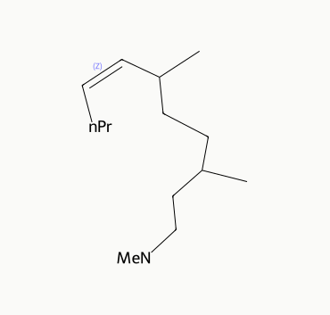 CCC/C=C\C(C)CCC(C)CCNC